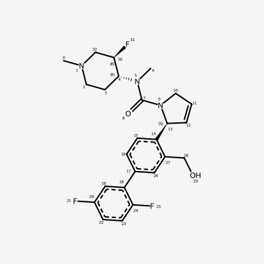 CN1CC[C@@H](N(C)C(=O)N2CC=C[C@H]2c2ccc(-c3cc(F)ccc3F)cc2CO)[C@H](F)C1